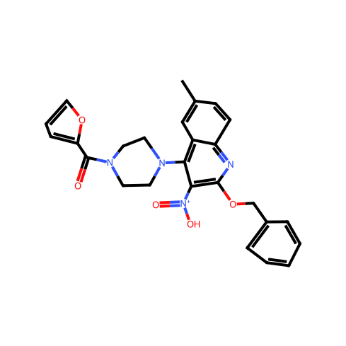 Cc1ccc2nc(OCc3ccccc3)c([N+](=O)O)c(N3CCN(C(=O)c4ccco4)CC3)c2c1